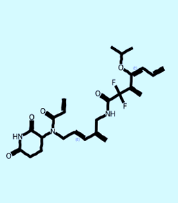 C=C/C=C(/OC(C)C)C(=C)C(F)(F)C(=O)NCC(=C)/C=C/CN(C(=O)C=C)C1CCC(=O)NC1=O